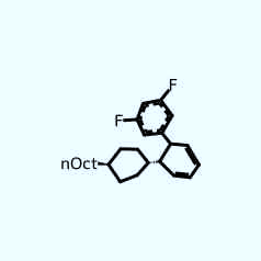 CCCCCCCC[C@H]1CC[C@H](C2C=CC=CC2c2cc(F)cc(F)c2)CC1